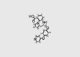 O=C(O)c1cccc(N2CC(Oc3ccc(Oc4ccncc4)cc3)C2)c1-n1cccc1